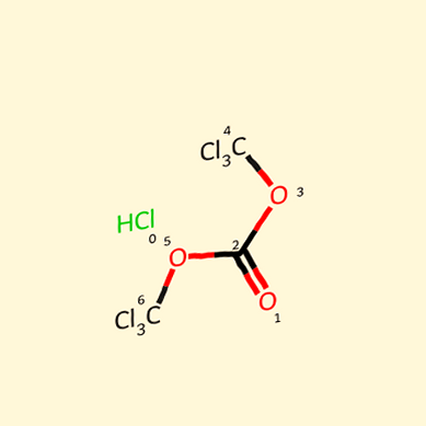 Cl.O=C(OC(Cl)(Cl)Cl)OC(Cl)(Cl)Cl